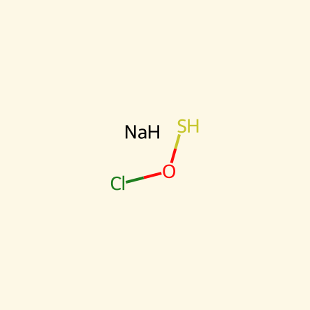 SOCl.[NaH]